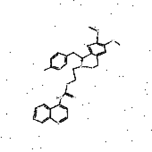 COc1cc2c(cc1OC)C(Cc1ccc(F)cc1)N(CCOC(=O)Nc1ccnc3ccccc13)CC2